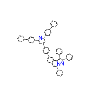 c1ccc(-c2ccc(-c3cc(-c4ccc(-c5ccc6cc(-c7ccccc7)n7nc(-c8ccccc8)c(-c8ccccc8)c7c6c5)cc4)cc(-c4ccc(-c5ccccc5)cc4)n3)cc2)cc1